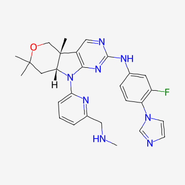 CNCc1cccc(N2c3nc(Nc4ccc(-n5ccnc5)c(F)c4)ncc3[C@@]3(C)COC(C)(C)C[C@@H]23)n1